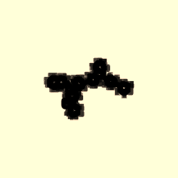 c1ccc(-c2ccc(C3c4ccccc4-c4cc(-c5ccc6c(c5)c5cc7c(cc5n6-c5ccc6ccccc6c5)oc5ccccc57)ccc43)cc2)cc1